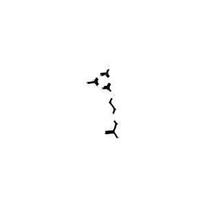 C=C(C)COCCNc1nc(Cl)nc(Cl)n1